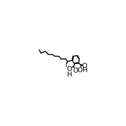 CCCCCCCCCC(I)c1cccc(C(=O)O)c1C(=O)O